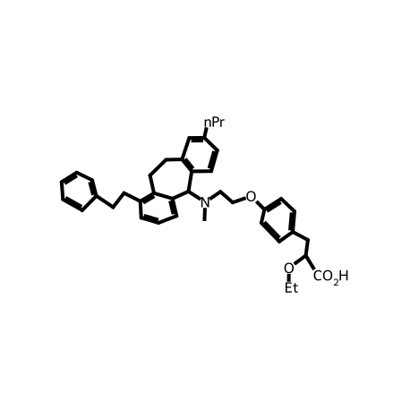 CCCc1ccc2c(c1)CCc1c(CCc3ccccc3)cccc1C2N(C)CCOc1ccc(CC(OCC)C(=O)O)cc1